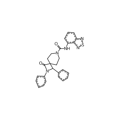 O=C(Nc1cccc2nsnc12)N1CCC2(CC1)C(=O)N(c1ccccc1)C2c1ccccc1